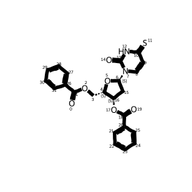 O=C(OC[C@@H]1O[C@H](n2ccc(=S)[nH]c2=O)C[C@@H]1OC(=O)c1ccccc1)c1ccccc1